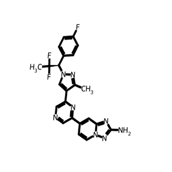 Cc1nn([C@H](c2ccc(F)cc2)C(C)(F)F)cc1-c1cncc(-c2ccn3nc(N)nc3c2)n1